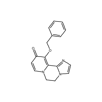 O=c1ccn2c(c1OCc1ccccc1)-c1nccn1CC2